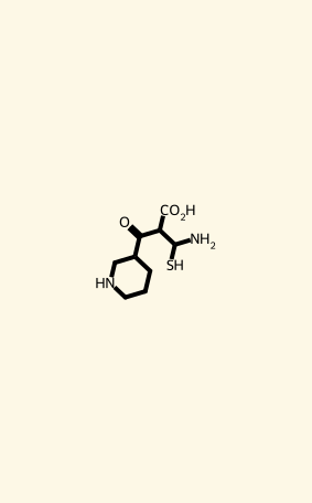 NC(S)C(C(=O)O)C(=O)C1CCCNC1